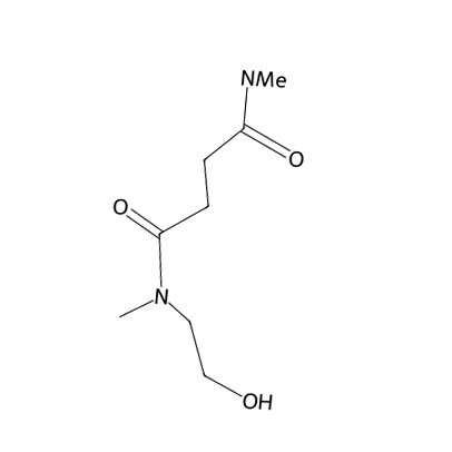 CNC(=O)CCC(=O)N(C)CCO